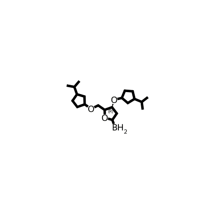 BC1C[C@@H](OC2CCC(C(C)C)C2)C(COC2CCC(C(C)C)C2)O1